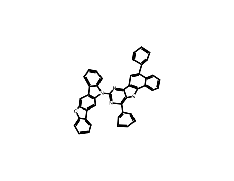 c1ccc(-c2cc3c4nc(-n5c6ccccc6c6cc7oc8ccccc8c7cc65)nc(-c5ccccc5)c4sc3c3ccccc23)cc1